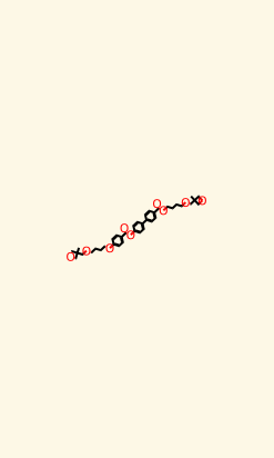 CC1(COCCCCOC(=O)c2ccc(-c3ccc(OC(=O)c4ccc(OCCCCOCC5(C)COC5)cc4)cc3)cc2)COC1